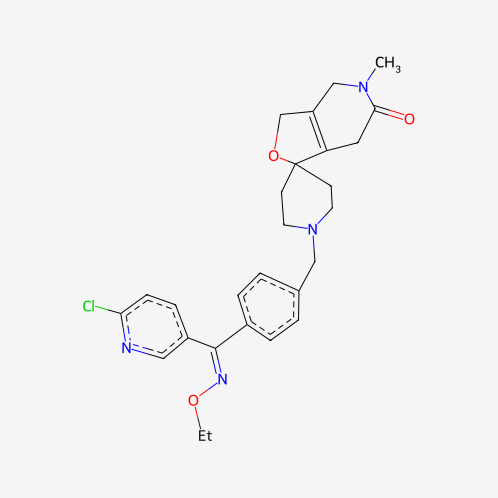 CCON=C(c1ccc(CN2CCC3(CC2)OCC2=C3CC(=O)N(C)C2)cc1)c1ccc(Cl)nc1